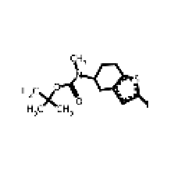 CN(C(=O)OC(C)(C)C)C1CCc2sc(I)cc2C1